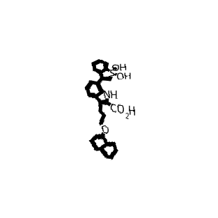 O=C(O)c1[nH]c2c(C3=CS(O)(O)c4ccccc43)cccc2c1CCCOc1cccc2ccccc12